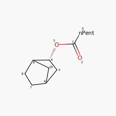 CCCCCC(=O)O[C@@H]1CC2CCC1C2